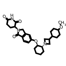 COC1CCC(C2CN([C@@H]3CCCC[C@H]3Oc3ccc4c(c3)CN(C3CCC(=O)NC3=O)C4=O)C2)CC1